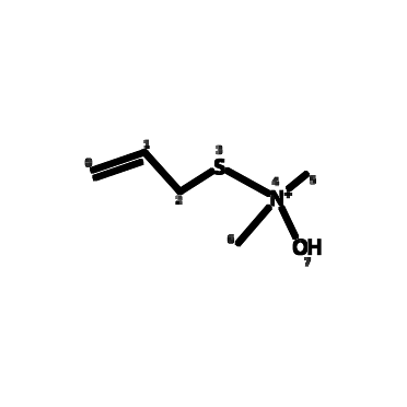 C=CCS[N+](C)(C)O